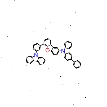 c1ccc(-c2ccc3c(c2)c2ccccc2n3-c2ccc3oc4c(-c5cccc(-n6c7ccccc7c7ccccc76)c5)cccc4c3c2)cc1